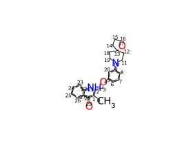 Cc1c(COc2cccc(N3CCC4(CCCO4)CC3)c2)[nH]c2ccccc2c1=O